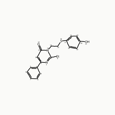 CCc1nc(-c2ccccc2)cc(=O)n1CCSc1ccc(O)cc1